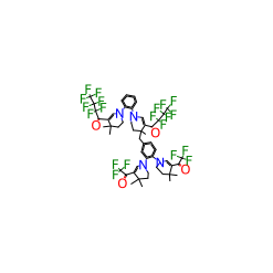 CC1(C)CCN(c2ccc(CC3(C)CCN(c4ccccc4N4C=C(C(=O)C(F)(F)C(F)(F)C(F)(F)F)C(C)(C)CC4)C=C3C(=O)C(F)(F)C(F)(F)C(F)(F)F)cc2N2C=C(C(=O)C(F)(F)F)C(C)(C)CC2)C=C1C(=O)C(F)(F)F